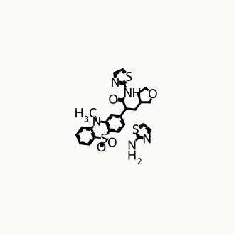 CN1c2ccccc2S(=O)(=O)c2ccc(C(CC3CCOC3)C(=O)Nc3nccs3)cc21.Nc1nccs1